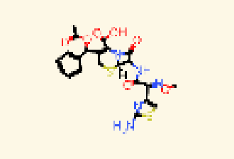 CON=C(C(=O)NC1C(=O)N2C(C(=O)O)=C(C(OC(C)=O)c3ccccc3)CS[C@@H]12)c1csc(N)n1